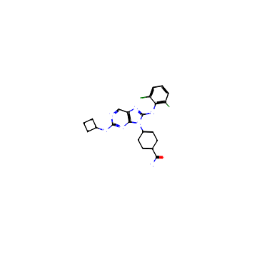 NC(=O)C1CCC(n2c(Nc3c(F)cccc3Cl)nc3cnc(NC4CCC4)nc32)CC1